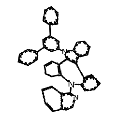 C1=CC2=C(CC1)N(c1nccc3c1CCC=C3)c1ccccc1-c1c2n(-c2cc(-c3ccccc3)cc(-c3ccccc3)c2)c2ccccc12